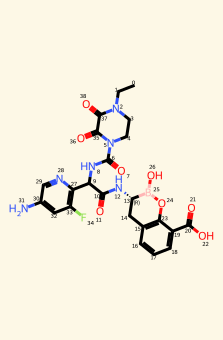 CCN1CCN(C(=O)NC(C(=O)N[C@H]2Cc3cccc(C(=O)O)c3OB2O)c2ncc(N)cc2F)C(=O)C1=O